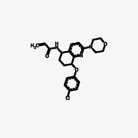 C=CC(=O)NC1CCC(Oc2ccc(Cl)cc2)c2nc(N3CCOCC3)ccc21